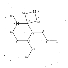 CCCC1C(CC)CCN(C)C12COC2